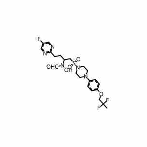 CC(F)(F)COc1ccc(N2CCN(S(=O)(=O)CC(CCc3ncc(F)cn3)N(O)C=O)CC2)cc1